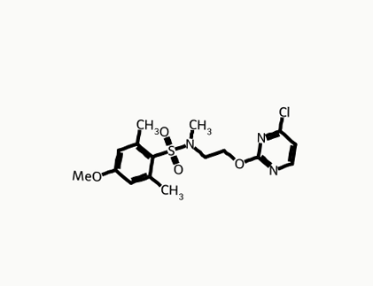 COc1cc(C)c(S(=O)(=O)N(C)CCOc2nccc(Cl)n2)c(C)c1